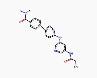 CN(C)C(=O)c1ccc(-c2ccc(Nc3cncc(NC(=O)CC#N)c3)nc2)cc1